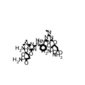 CN(C)c1nc(Nc2ccccc2Nc2nc(OC(CC(=O)ON)C(=O)ON)nc(N(C)C)n2)nc(OC(CC(=O)ON)C(=O)ON)n1